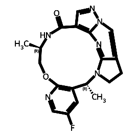 C[C@@H]1COc2ncc(F)cc2[C@@H](C)N2CCc3cn4ncc(c4nc32)C(=O)N1